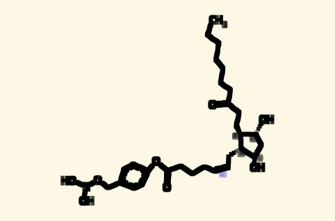 CCCCCCCC(=O)CC[C@@H]1[C@@H](C/C=C\CCCC(=O)Oc2ccc(CON(O)O)cc2)[C@@H](O)C[C@H]1O